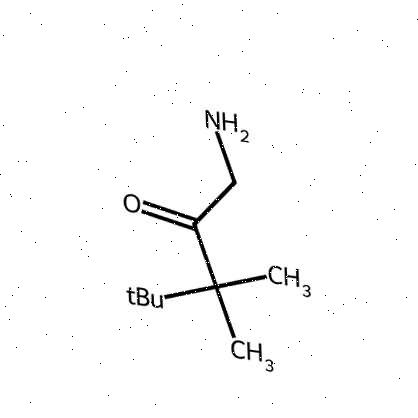 CC(C)(C)C(C)(C)C(=O)CN